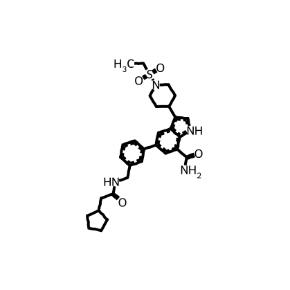 CCS(=O)(=O)N1CCC(c2c[nH]c3c(C(N)=O)cc(-c4cccc(CNC(=O)CC5CCCC5)c4)cc23)CC1